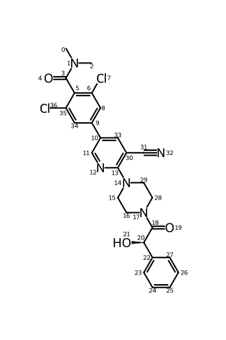 CN(C)C(=O)c1c(Cl)cc(-c2cnc(N3CCN(C(=O)[C@H](O)c4ccccc4)CC3)c(C#N)c2)cc1Cl